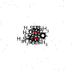 CC(C(Cl)(Cl)C([SiH3])Cl)C(C(Cl)(Cl)C([SiH3])Cl)(C(Cl)(Cl)C([SiH3])Cl)C(c1ccccc1)(C(Cl)(Cl)C([SiH3])Cl)C(Cl)(Cl)C([SiH3])Cl